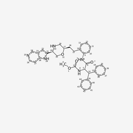 COC(=O)NC(C(=O)Nc1ccccc1CC[C@@H]1CN[C@H](c2cc3cnccc3[nH]2)CO1)C(c1ccccc1)c1ccccc1